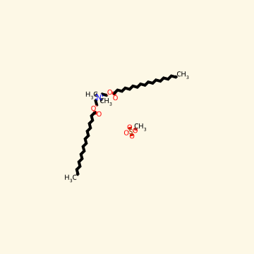 CCCCCCCCCCCCCCCCCC(=O)OCC[N+](C)(C)CCOC(=O)CCCCCCCCCCCCCCCCC.COS(=O)(=O)[O-]